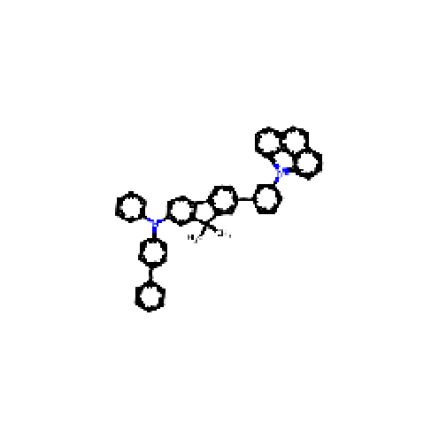 CC1(C)c2cc(-c3cccc(-n4c5cccc6ccc7cccc4c7c65)c3)ccc2-c2ccc(N(c3ccccc3)c3ccc(-c4ccccc4)cc3)cc21